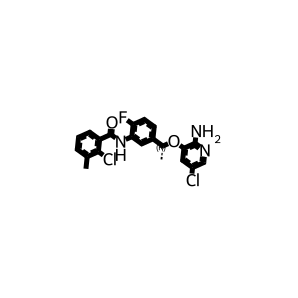 Cc1cccc(C(=O)Nc2cc([C@@H](C)Oc3cc(Cl)cnc3N)ccc2F)c1Cl